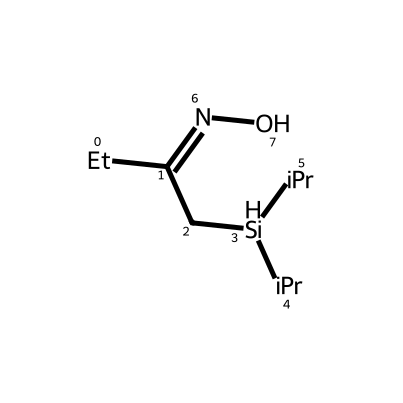 CCC(C[SiH](C(C)C)C(C)C)=NO